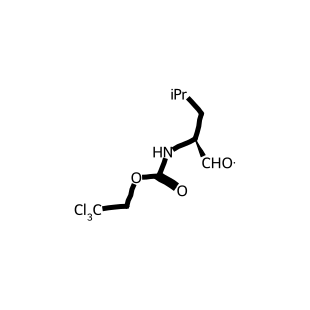 CC(C)C[C@@H]([C]=O)NC(=O)OCC(Cl)(Cl)Cl